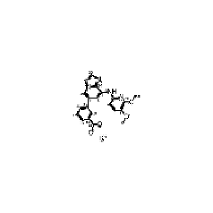 COc1ccc(Nc2cc(-c3cccc(C(=O)[O-])c3)cn3ncnc23)nc1OC.[K+]